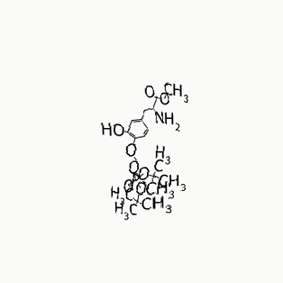 COC(=O)C(N)Cc1ccc(OCOP(=O)(OC(C)(C)C)OC(C)(C)C)c(O)c1